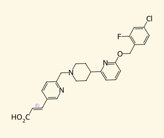 O=C(O)/C=C/c1ccc(CN2CCC(c3cccc(OCc4ccc(Cl)cc4F)n3)CC2)nc1